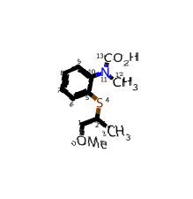 COCC(C)Sc1ccccc1N(C)C(=O)O